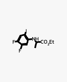 CCOC(=O)C(C)Nc1cc(F)c(F)cc1I